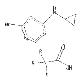 Brc1cc(NC2CC2)ccn1.O=C(O)C(F)(F)F